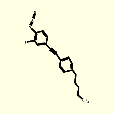 CCCCCc1ccc(C#Cc2ccc(N=C=S)c(F)c2)cc1